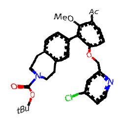 COc1c(C(C)=O)ccc(OCc2cc(Cl)ccn2)c1-c1ccc2c(c1)CCN(C(=O)OC(C)(C)C)CC2